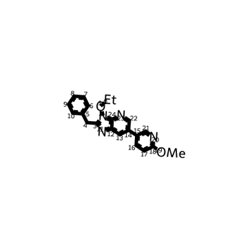 CCOn1c(Cc2ccccc2)nc2cc(-c3ccc(OC)nc3)cnc21